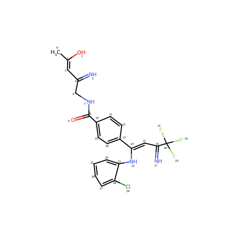 C/C(O)=C/C(=N)CNC(=O)c1ccc(/C(=C/C(=N)C(F)(F)F)Nc2ccccc2Cl)cc1